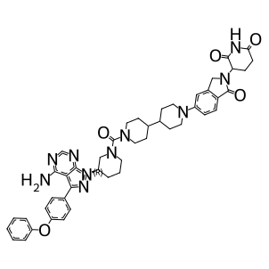 Nc1ncnc2c1c(-c1ccc(Oc3ccccc3)cc1)nn2[C@@H]1CCCN(C(=O)N2CCC(C3CCN(c4ccc5c(c4)CN(C4CCC(=O)NC4=O)C5=O)CC3)CC2)C1